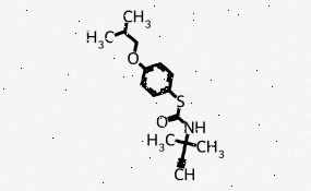 C#CC(C)(C)NC(=O)Sc1ccc(OCC(C)C)cc1